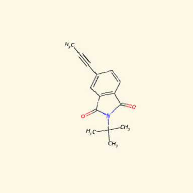 CC#Cc1ccc2c(c1)C(=O)N(C(C)(C)C)C2=O